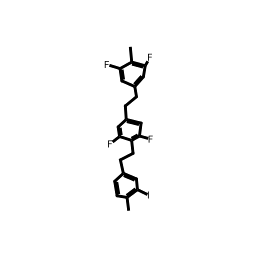 Cc1ccc(CCc2c(F)cc(CCc3cc(F)c(C)c(F)c3)cc2F)cc1I